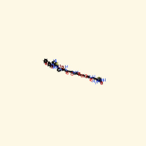 Cc1cc(Oc2ccccc2)ccc1N1C(=O)Nc2c(C(=O)NC3CCCN(C(=O)/C=C/CNC(=O)CCCC(=O)NCCCOCCOCCOCCCNC(=O)CCCC[C@H]4SCC5NC(=O)NC54N)C3)sc3nccc1c23